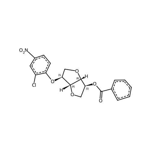 O=C(O[C@H]1CO[C@H]2[C@@H]1OC[C@@H]2Oc1ccc([N+](=O)[O-])cc1Cl)c1ccccc1